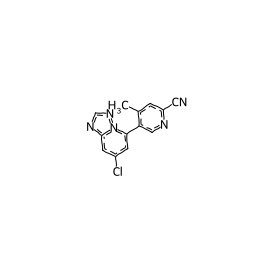 Cc1cc(C#N)ncc1-c1cc(Cl)cc2ncnn12